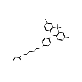 C=CC(=O)OCCCCOc1ccc(N2c3ccc(C)cc3C(C)(C)c3cc(C)ccc32)cc1